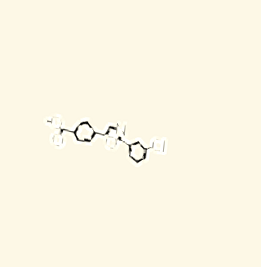 COC(=O)c1ccc(-c2cnc(-c3cccc(Cl)c3)o2)cc1